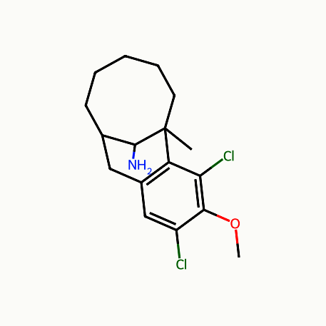 COc1c(Cl)cc2c(c1Cl)C1(C)CCCCCC(C2)C1N